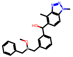 COB(Cc1ccccc1)Cc1cccc(C(O)c2ccc3c(nnn3C)c2C)c1